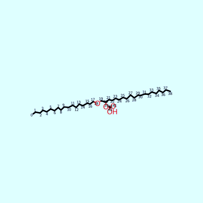 CCCCCCCCCCCCCCCCCCOCC(CCCCCCCCCCCCCCCCCC)OC(=O)O